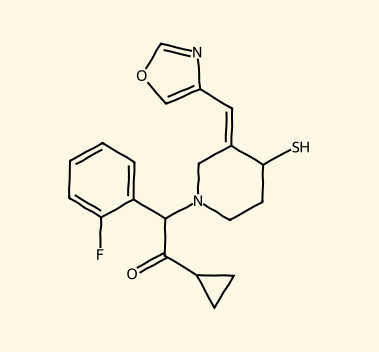 O=C(C1CC1)C(c1ccccc1F)N1CCC(S)C(=Cc2cocn2)C1